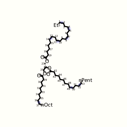 CC/C=C\C/C=C\C/C=C\C/C=C\C/C=C\CCCCCC(=O)OC[C@@H](COC(=O)CCCCCCC/C=C\CCCCCCCC)OC(=O)CCCCCCC/C=C\C/C=C\CCCCC